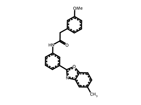 COc1cccc(CC(=O)Nc2cccc(-c3nc4cc(C)ccc4o3)c2)c1